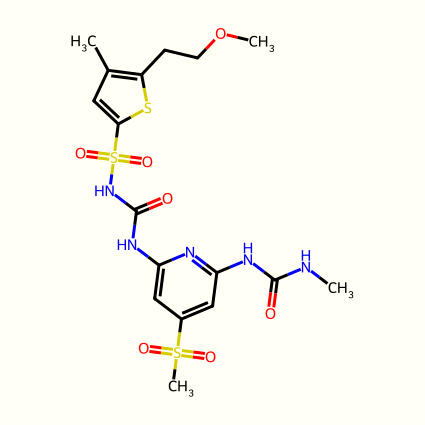 CNC(=O)Nc1cc(S(C)(=O)=O)cc(NC(=O)NS(=O)(=O)c2cc(C)c(CCOC)s2)n1